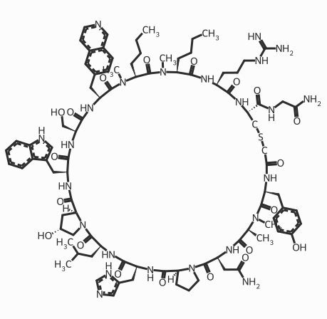 CCCC[C@H]1C(=O)N(C)[C@@H](CCCC)C(=O)N[C@@H](CCCNC(=N)N)C(=O)N[C@H](C(=O)NCC(N)=O)CSCC(=O)N[C@@H](Cc2ccc(O)cc2)C(=O)N(C)[C@@H](C)C(=O)N[C@@H](CC(N)=O)C(=O)N2CCC[C@H]2C(=O)N[C@@H](Cc2cnc[nH]2)C(=O)N[C@@H](CC(C)C)C(=O)N2C[C@H](O)C[C@H]2C(=O)N[C@@H](Cc2c[nH]c3ccccc23)C(=O)N[C@@H](CO)C(=O)N[C@@H](Cc2ccc3cnccc3c2)C(=O)N1C